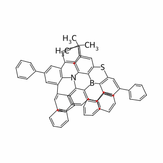 CC(C)(C)c1cc2c3c(c1)N(c1c(-c4ccccc4)cc(-c4ccccc4)cc1-c1ccccc1)c1cc(-c4ccccc4)cc(-c4ccccc4)c1B3c1c(cc(-c3ccccc3)cc1-c1ccccc1)S2